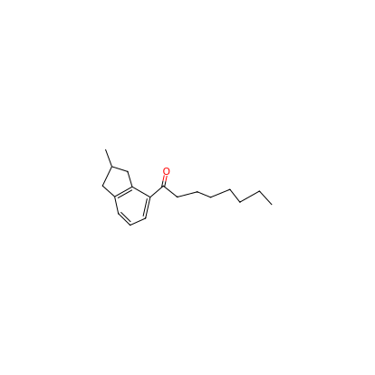 CCCCCCCC(=O)c1cccc2c1CC(C)C2